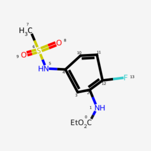 CCOC(=O)Nc1cc(NS(C)(=O)=O)ccc1F